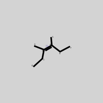 CC/C(C)=C(/C)CC